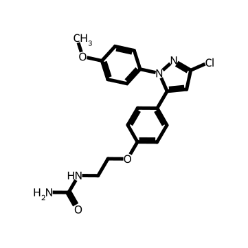 COc1ccc(-n2nc(Cl)cc2-c2ccc(OCCNC(N)=O)cc2)cc1